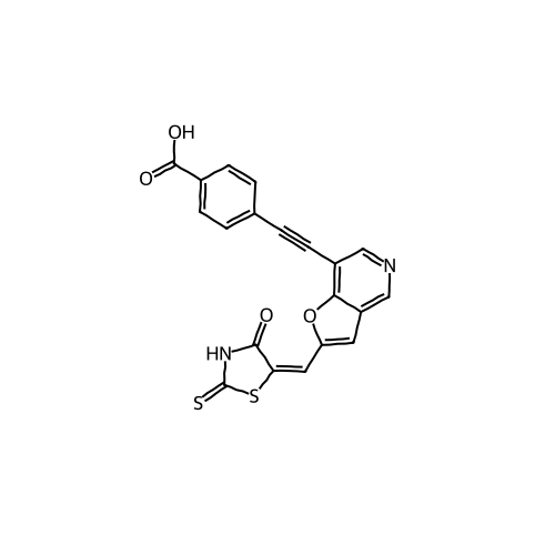 O=C1NC(=S)SC1=Cc1cc2cncc(C#Cc3ccc(C(=O)O)cc3)c2o1